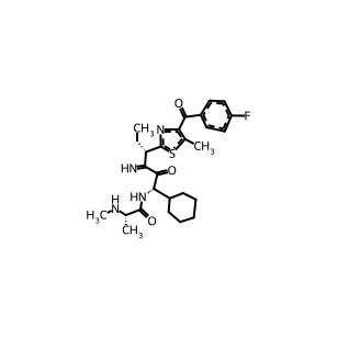 CC[C@@H](C(=N)C(=O)[C@@H](NC(=O)[C@H](C)NC)C1CCCCC1)c1nc(C(=O)c2ccc(F)cc2)c(C)s1